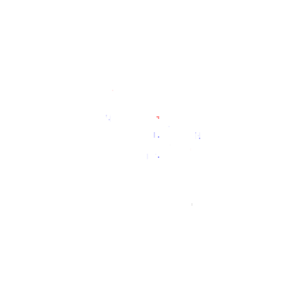 CC1=C2NOC(Nc3cc(C(F)(F)F)cc(C(F)(F)F)c3)(N=C1)N2c1ccc2c(c1)NCO2